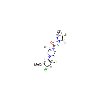 COc1cc(N2CCN(C(=O)Cn3nc(C(F)(F)F)c(Br)c3C)[C@@H](C)C2)c(Cl)cc1Cl